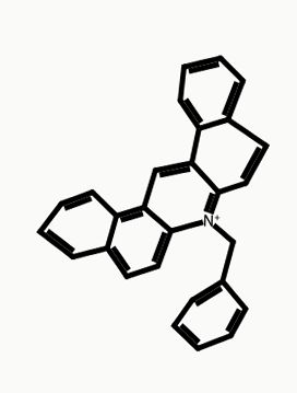 c1ccc(C[n+]2c3ccc4ccccc4c3cc3c4ccccc4ccc32)cc1